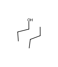 CCCC.CCCO